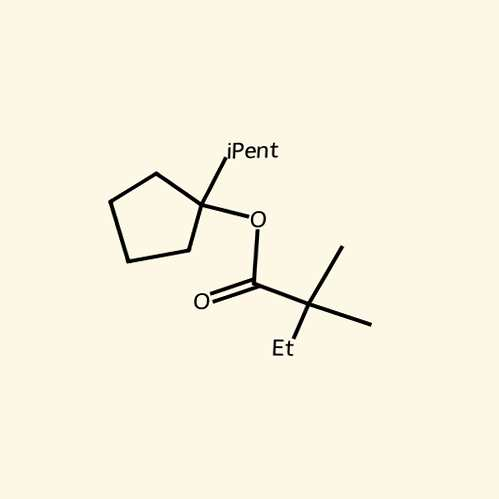 CCCC(C)C1(OC(=O)C(C)(C)CC)CCCC1